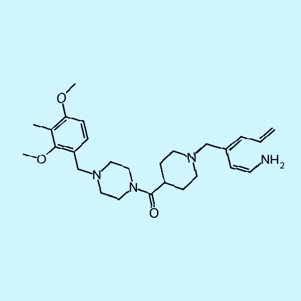 C=C/C=C(\C=C/N)CN1CCC(C(=O)N2CCN(Cc3ccc(OC)c(C)c3OC)CC2)CC1